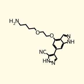 N#Cc1[nH]ncc1-c1cc(OCCOCCCCN)c2cn[nH]c2c1